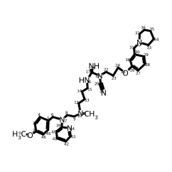 COc1ccc(CN(CCN(C)CCCCNC(=N)N(C#N)CCCOc2cccc(CN3CCCCC3)c2)c2ccccn2)cc1